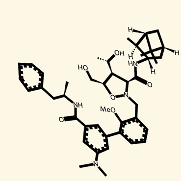 COc1c(CN2O[C@@H](CO)[C@@H]([C@H](C)O)[C@H]2C(=O)N[C@H]2C[C@H]3C[C@@H]([C@@H]2C)C3(C)C)cccc1-c1cc(C(=O)N[C@H](C)Cc2ccccc2)cc(N(C)C)c1